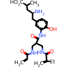 C=CC(=O)NCC(CNC(=O)C(=C)CC)C(=O)Nc1cc(C[C@H](N)CC(C)C(=O)O)ccc1O